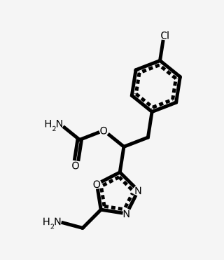 NCc1nnc(C(Cc2ccc(Cl)cc2)OC(N)=O)o1